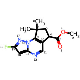 COC(=O)C1CC(C)(C)c2c1cnc1cc(F)nn21